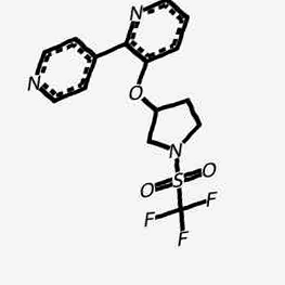 O=S(=O)(N1CCC(Oc2cccnc2-c2ccncc2)C1)C(F)(F)F